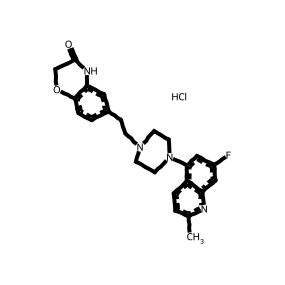 Cc1ccc2c(N3CCN(CCc4ccc5c(c4)NC(=O)CO5)CC3)cc(F)cc2n1.Cl